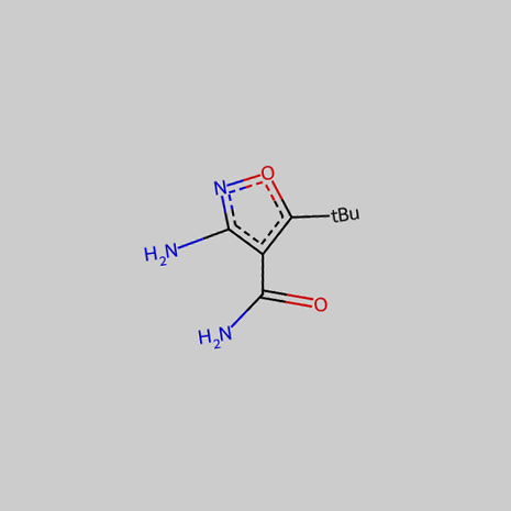 CC(C)(C)c1onc(N)c1C(N)=O